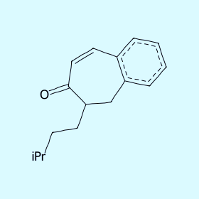 CC(C)CCC1Cc2ccccc2C=CC1=O